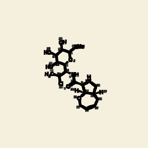 CSC1O[C@H]([C@H](NC(=O)[C@H]2NC[C@H]3CC=CCO[C@H]32)[C@H](C)Cl)C(O)[C@@H](O)[C@H]1O